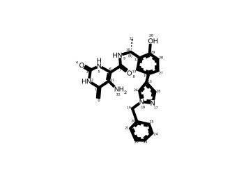 C=C1NC(=O)NC(C(=O)N[C@H](C)c2cc(-c3cnn(Cc4ccccc4)c3)ccc2O)=C1N